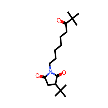 CC(C)(C)C(=O)CCCCCCN1C(=O)CC(C(C)(C)C)C1=O